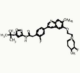 COc1cc2ncc(-c3ccc(CC(=O)Nc4cc(C(C)(C)C(F)(F)F)on4)c(F)c3)cc2cc1OCCN1CCC(O)C(F)C1